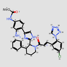 COC(=O)Nc1ccc(-c2c[nH]c(C3C(c4ccccc4)CCCN3C(=O)/C=C/c3cc(Cl)ccc3-n3cnnn3)n2)c(N)c1